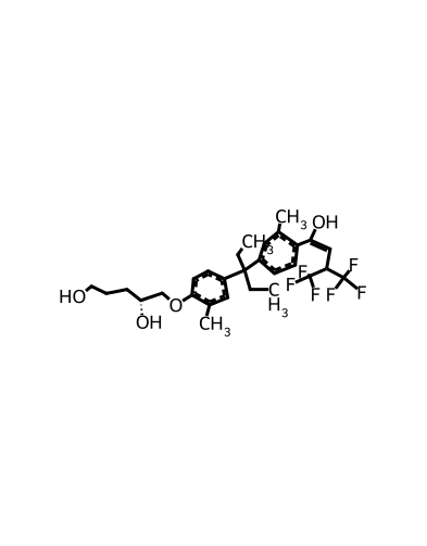 CCC(CC)(c1ccc(OC[C@H](O)CCCO)c(C)c1)c1ccc(/C(O)=C\C(C(F)(F)F)C(F)(F)F)c(C)c1